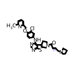 Cc1cccc(COc2ccc(Nc3ncnc4sc5c(c34)CCN(C(=O)/C=C/CN3CCCC3)C5)cc2Cl)n1